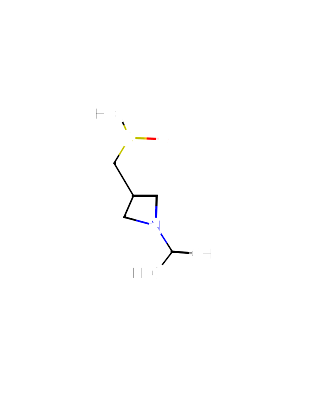 CC(C)N1CC(C[S+](C)[O-])C1